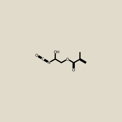 C=C(C)C(=O)OCC(O)N=C=O